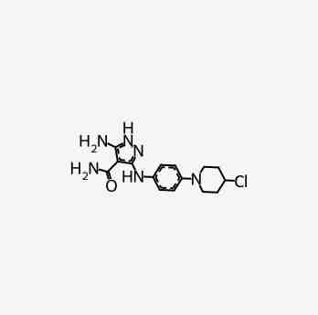 NC(=O)c1c(Nc2ccc(N3CCC(Cl)CC3)cc2)n[nH]c1N